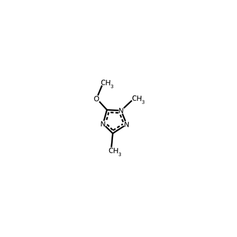 COc1nc(C)nn1C